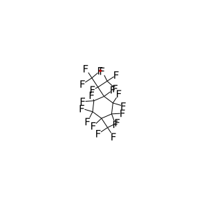 FC(F)(F)C1(F)C(F)(F)C(F)(F)C(F)(C(F)(C(F)(F)F)C(F)(F)F)C(F)(F)C1(F)F